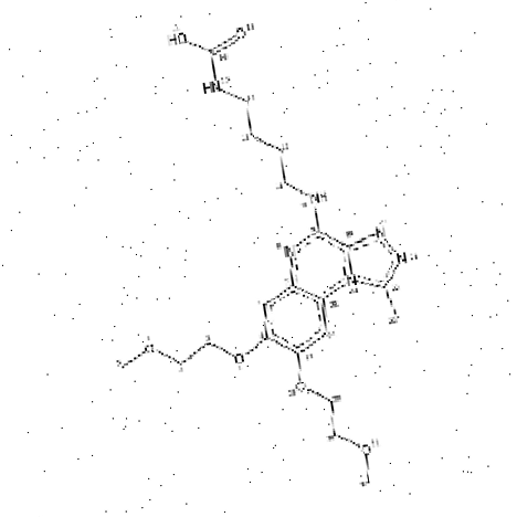 COCCOc1cc2nc(NCCCCNC(=O)O)c3nnc(C)n3c2cc1OCCOC